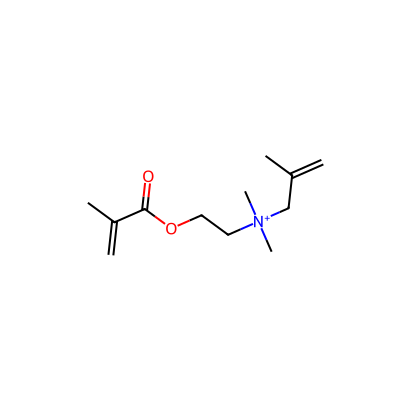 C=C(C)C[N+](C)(C)CCOC(=O)C(=C)C